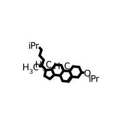 CC(C)CCCC(C)C1CCC2C3CC=C4CC(OC(C)C)CCC4(C)C3CCC12C